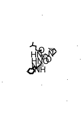 CC(C)CCC(=O)N[C@@H](CC(=O)N1CCC[C@@H]1C)C(=O)N[C@H](C)c1nc2ccccc2[nH]1